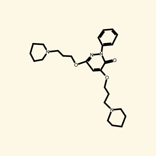 O=c1c(OCCCN2CCCCC2)cc(OCCCN2CCCCC2)nn1-c1ccccc1